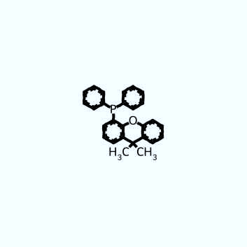 CC1(C)c2ccccc2Oc2c(P(c3ccccc3)c3ccccc3)cccc21